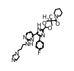 CC1(C(=O)N2CCCCC2)COC(c2nc(-c3ccc(F)cc3)c(-c3ccnc(NCCCN4CC=NC4)n3)[nH]2)OC1